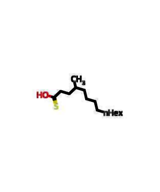 CCCCCCCCCCC(C)CCC(O)=S